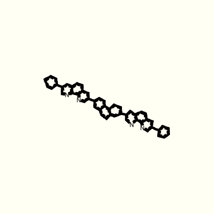 c1ccc(-c2cnc3c(ccc4cc(-c5ccc6c(ccc7cc(-c8cnc9c(ccc%10cc(-c%11ccccc%11)cnc%109)c8)ccc76)c5)cnc43)c2)cc1